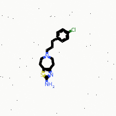 Nc1nc2c(s1)CCN(CCCc1ccc(Cl)cc1)CC2